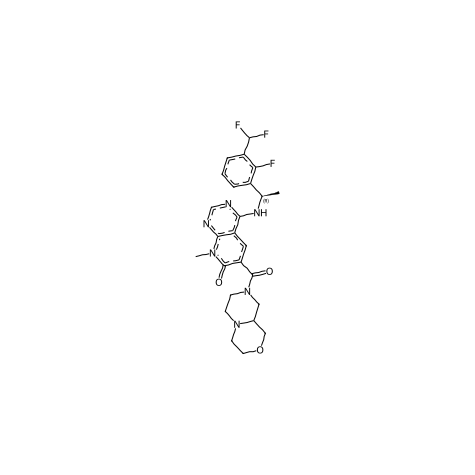 C[C@@H](Nc1ncnc2c1cc(C(=O)N1CCN3CCOCC3C1)c(=O)n2C)c1cccc(C(F)F)c1F